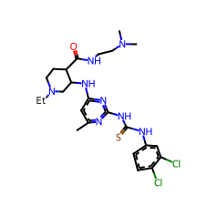 CCN1CCC(C(=O)NCCN(C)C)C(Nc2cc(C)nc(NC(=S)Nc3ccc(Cl)c(Cl)c3)n2)C1